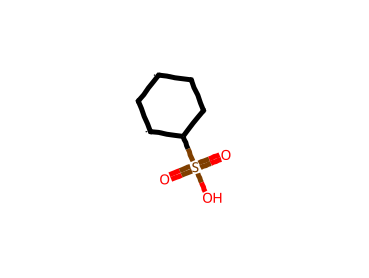 O=S(=O)(O)[C]1[CH]C[CH]CC1